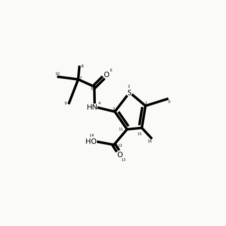 Cc1sc(NC(=O)C(C)(C)C)c(C(=O)O)c1C